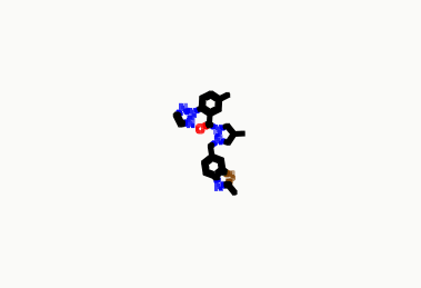 Cc1ccc(-n2nccn2)c(C(=O)N2CC(C)CN2Cc2ccc3nc(C)sc3c2)c1